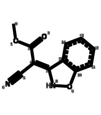 COC(=O)C(C#N)=C1NOc2ccccc21